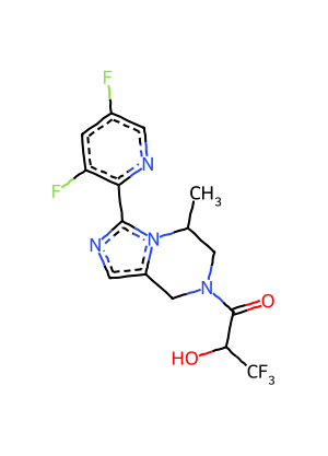 CC1CN(C(=O)C(O)C(F)(F)F)Cc2cnc(-c3ncc(F)cc3F)n21